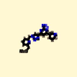 COCc1cccc(Cn2cc(-c3cc(-c4cccnc4)nc(N)n3)nn2)n1